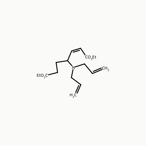 C=CCN(CC=C)C(/C=C\C(=O)OCC)CCC(=O)OCC